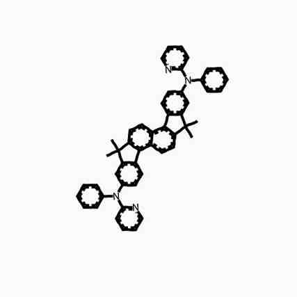 CC1(C)c2cc(N(c3ccccc3)c3ccccn3)ccc2-c2c1ccc1c3c(ccc21)C(C)(C)c1cc(N(c2ccccc2)c2ccccn2)ccc1-3